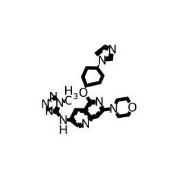 Cn1nnnc1Nc1cnc2cc(N3CCOCC3)nc(O[C@H]3CC[C@@H](n4ccnc4)CC3)c2c1